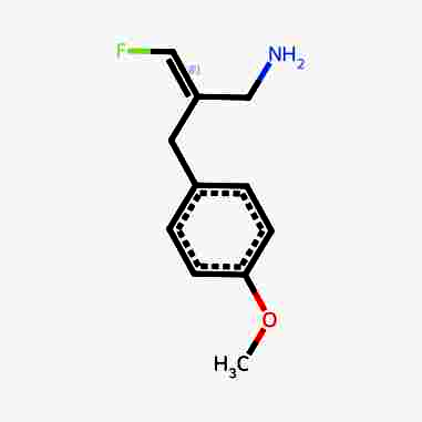 COc1ccc(C/C(=C\F)CN)cc1